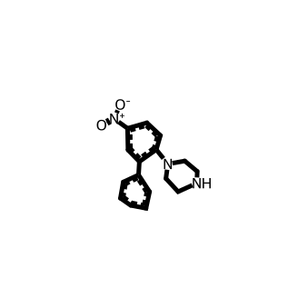 O=[N+]([O-])c1ccc(N2CCNCC2)c(-c2ccccc2)c1